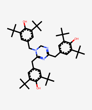 CC(C)(C)c1cc(CC2=NCN(Cc3cc(C(C)(C)C)c(O)c(C(C)(C)C)c3)C(Cc3cc(C(C)(C)C)c(O)c(C(C)(C)C)c3)=N2)cc(C(C)(C)C)c1O